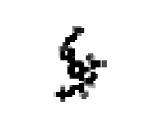 C[C@H]1CN(C(=O)O)c2cc(-c3cnn(CCO)c3)ccc2N1C(=O)CCC(F)(F)F